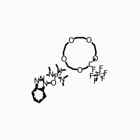 C1COCCOCCOCCOCCO1.CN(C)[P+](On1nnc2ccccc21)(N(C)C)N(C)C.F[P-](F)(F)(F)(F)F